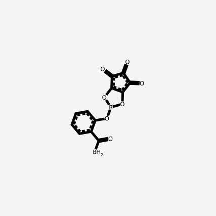 BC(=O)c1ccccc1OB1Oc2c(c(=O)c(=O)c2=O)O1